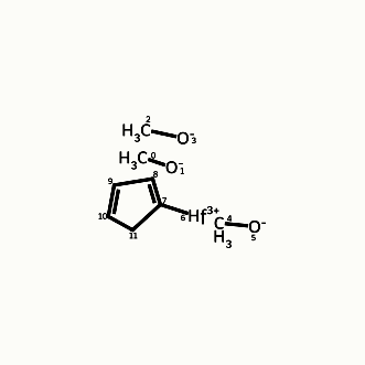 C[O-].C[O-].C[O-].[Hf+3][C]1=CC=CC1